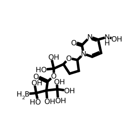 BC(O)(O)C(O)(C(=O)OC(O)(O)C1CCC(n2ccc(NO)nc2=O)O1)C(O)(O)O